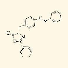 O=C1OC(c2ccccc2)=NC1Cc1ccc(OCc2ccccc2)cc1